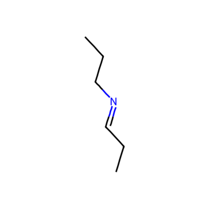 CC/C=N/CCC